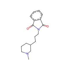 CN1CCCC(CCCN2C(=O)c3ccccc3C2=O)C1